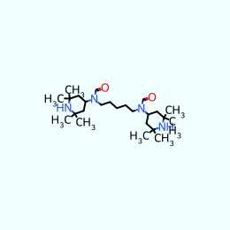 CC1(C)CC(N(C=O)CCCCCN(C=O)C2CC(C)(C)NC(C)(C)C2)CC(C)(C)N1